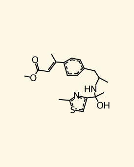 COC(=O)C=C(C)c1ccc(CC(C)NC(C)(O)c2csc(C)n2)cc1